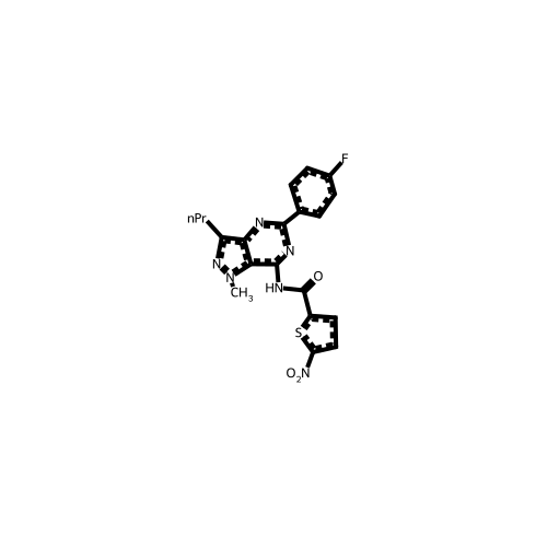 CCCc1nn(C)c2c(NC(=O)c3ccc([N+](=O)[O-])s3)nc(-c3ccc(F)cc3)nc12